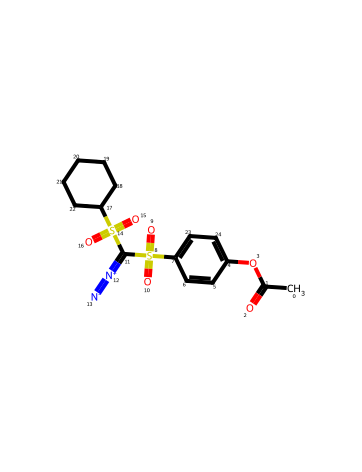 CC(=O)Oc1ccc(S(=O)(=O)C(=[N+]=[N-])S(=O)(=O)C2CCCCC2)cc1